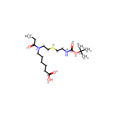 CCC(=O)N(CCCCCC(=O)O)CCSCCNC(=O)OC(C)(C)C